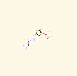 C[C@H](NC(=O)CN(C)C)c1cc(C(=O)NO)c(Cl)s1